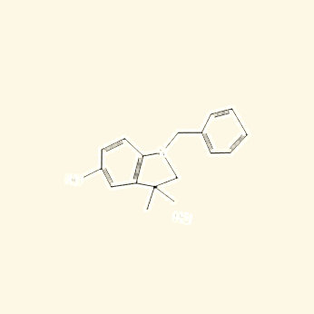 CC1(C)CN(Cc2ccccc2)c2ccc(O)cc21.Cl